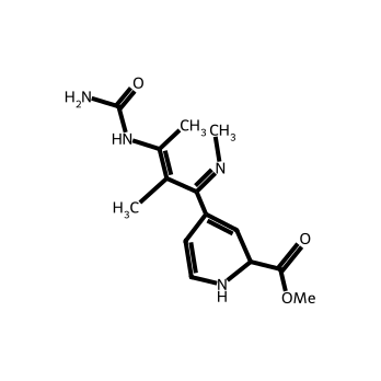 C/N=C(C1=CC(C(=O)OC)NC=C1)\C(C)=C(/C)NC(N)=O